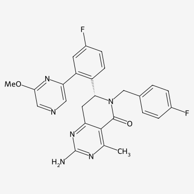 COc1cncc(-c2cc(F)ccc2[C@H]2Cc3nc(N)nc(C)c3C(=O)N2Cc2ccc(F)cc2)n1